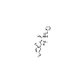 COc1ccc(OC)c(-c2cc(C(=O)N/N=C/c3ccco3)[nH]n2)c1